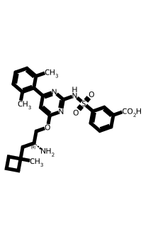 Cc1cccc(C)c1-c1cc(OC[C@H](N)CC2(C)CCC2)nc(NS(=O)(=O)c2cccc(C(=O)O)c2)n1